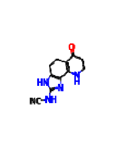 N#CNc1nc2c([nH]1)CCC1=C2NCCC1=O